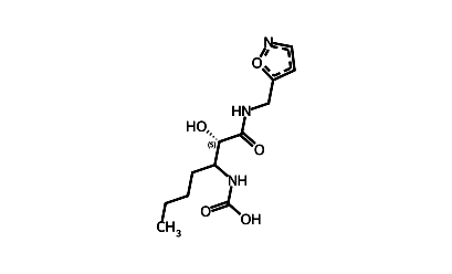 CCCCC(NC(=O)O)[C@H](O)C(=O)NCc1ccno1